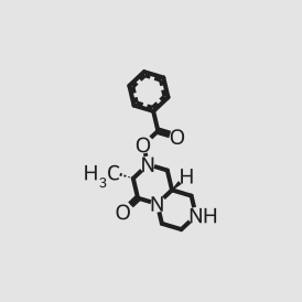 C[C@H]1C(=O)N2CCNC[C@H]2CN1OC(=O)c1ccccc1